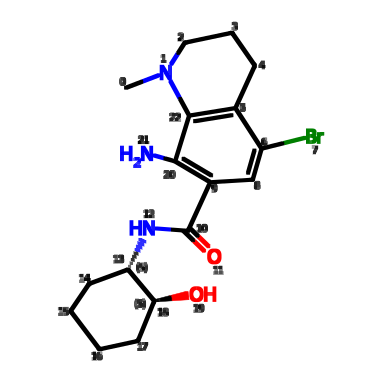 CN1CCCc2c(Br)cc(C(=O)N[C@H]3CCCC[C@@H]3O)c(N)c21